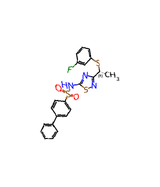 C[C@@H](Sc1cccc(F)c1)c1nsc(NS(=O)(=O)c2ccc(-c3ccccc3)cc2)n1